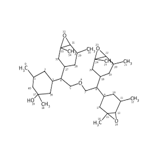 CC1CC(C(COCC(C2CC(C)C3OC3(C)C2)C2CC(C)C3OC3(C)C2)C2CC(C)C3OC3(C)C2)CC(C)(O)C1